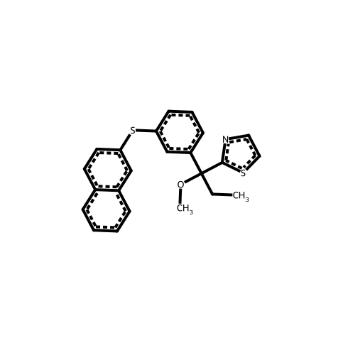 CCC(OC)(c1cccc(Sc2ccc3ccccc3c2)c1)c1nccs1